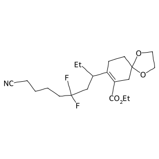 CCOC(=O)C1=C(C(CC)CC(F)(F)CCCCC#N)CCC2(C1)OCCO2